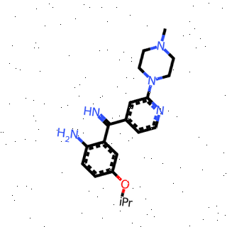 CC(C)Oc1ccc(N)c(C(=N)c2ccnc(N3CCN(C)CC3)c2)c1